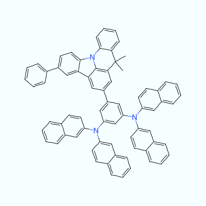 CC1(C)c2ccccc2-n2c3ccc(-c4ccccc4)cc3c3cc(-c4cc(N(c5ccc6ccccc6c5)c5ccc6ccccc6c5)cc(N(c5ccc6ccccc6c5)c5ccc6ccccc6c5)c4)cc1c32